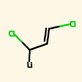 [Li][CH](Cl)C=CCl